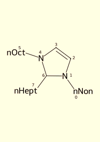 CCCCCCCCCN1C=CN(CCCCCCCC)C1CCCCCCC